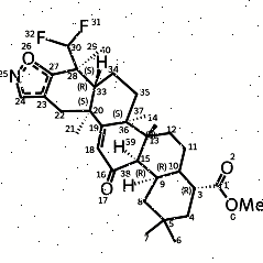 COC(=O)[C@@H]1CC(C)(C)C[C@@H]2C1CC[C@]1(C)[C@@H]2C(=O)C=C2[C@@]3(C)Cc4cnoc4[C@@](C)(C(F)F)[C@@H]3CC[C@]21C